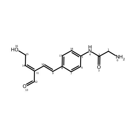 NCC(=O)Nc1ccc(/C=C/C(C=O)=C\CO)cc1